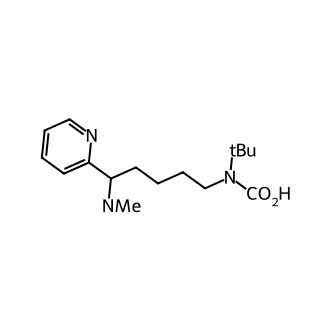 CNC(CCCCN(C(=O)O)C(C)(C)C)c1ccccn1